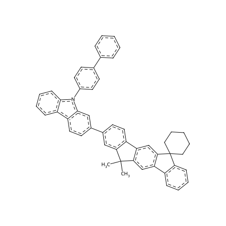 CC1(C)c2cc(-c3ccc4c5ccccc5n(-c5ccc(-c6ccccc6)cc5)c4c3)ccc2-c2cc3c(cc21)-c1ccccc1C31CCCCC1